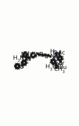 CC(=O)N1C(=O)/C(=C(\NCCOCCOCCN2CCC(n3nc(-c4ccc(Oc5ccccc5)cc4)c4c(N)ncnc43)CC2)c2cccc(O[Si](C)(C)C(C)(C)C)c2)c2cc(Br)ccc21